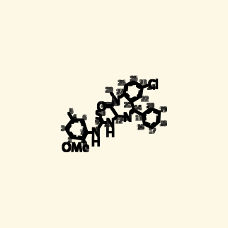 COc1ccc(C)cc1NC(=S)NC1N=C(c2ccccc2)c2cc(Cl)ccc2N(C)C1=O